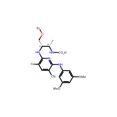 CCOC[C@@H](Nc1nc(Nc2cc(OC)cc(OC)c2)c(C#N)cc1F)[C@H](C)NC(=O)O